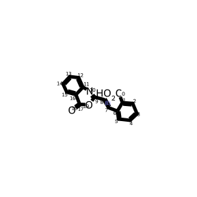 O=C(O)c1ccccc1/C=C/c1nc2ccccc2c(=O)o1